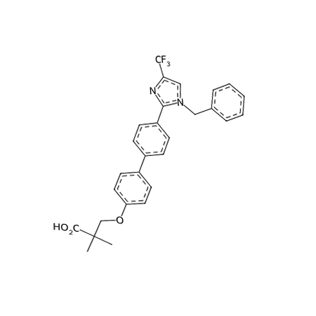 CC(C)(COc1ccc(-c2ccc(-c3nc(C(F)(F)F)cn3Cc3ccccc3)cc2)cc1)C(=O)O